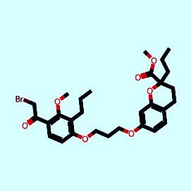 CCCc1c(OCCCOc2ccc3c(c2)OC(CCC)(C(=O)OC)CC3)ccc(C(=O)CBr)c1OC